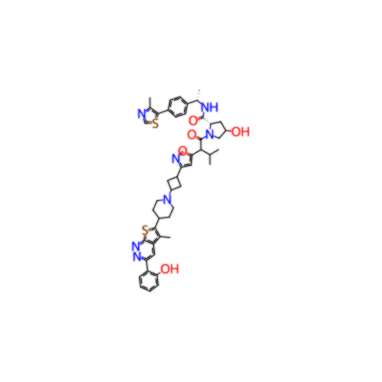 Cc1ncsc1-c1ccc([C@H](C)NC(=O)[C@@H]2C[C@@H](O)CN2C(=O)C(c2cc(C3CC(N4CCC(c5sc6nnc(-c7ccccc7O)cc6c5C)CC4)C3)no2)C(C)C)cc1